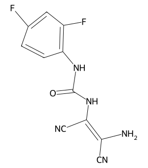 N#C/C(N)=C(\C#N)NC(=O)Nc1ccc(F)cc1F